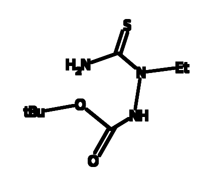 CCN(NC(=O)OC(C)(C)C)C(N)=S